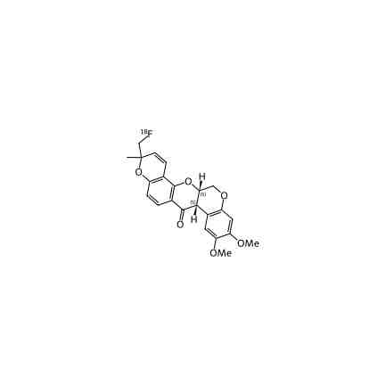 COc1cc2c(cc1OC)[C@@H]1C(=O)c3ccc4c(c3O[C@@H]1CO2)C=CC(C)(C[18F])O4